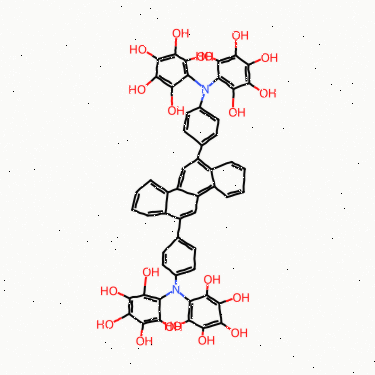 Oc1c(O)c(O)c(N(c2ccc(-c3cc4c5ccccc5c(-c5ccc(N(c6c(O)c(O)c(O)c(O)c6O)c6c(O)c(O)c(O)c(O)c6O)cc5)cc4c4ccccc34)cc2)c2c(O)c(O)c(O)c(O)c2O)c(O)c1O